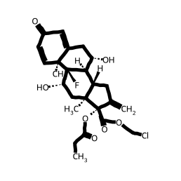 C=C1C[C@H]2[C@@H]3[C@@H](O)CC4=CC(=O)C=C[C@]4(C)[C@@]3(F)[C@@H](O)C[C@]2(C)[C@]1(OC(=O)CC)C(=O)OCCl